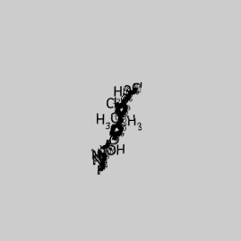 CC(C)(c1ccc(OC[C@@H](O)Cn2cc(CF)nn2)cc1)c1ccc(OC[C@@H](O)CCl)c(Cl)c1